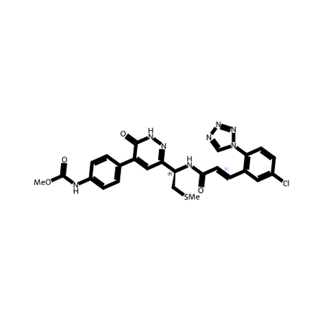 COC(=O)Nc1ccc(-c2cc([C@H](CSC)NC(=O)/C=C/c3cc(Cl)ccc3-n3cnnn3)n[nH]c2=O)cc1